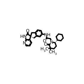 CC1(C)CC[C@@H](C2CCCCC2)N(CC(=O)Nc2ccc3c(c2)C[C@@]2(C3)C(=O)Nc3ncccc32)C1=O